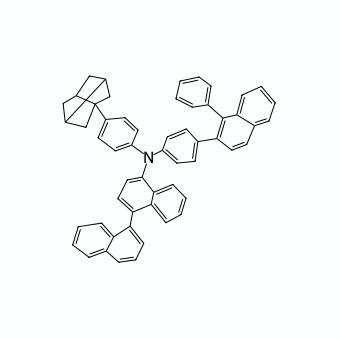 c1ccc(-c2c(-c3ccc(N(c4ccc(C56CC7CC5CC7C6)cc4)c4ccc(-c5cccc6ccccc56)c5ccccc45)cc3)ccc3ccccc23)cc1